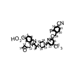 CC(c1nc2ccc(C(=O)O)cc2n1C[C@@H]1CCO1)N1CCN(c2cc(C(F)(F)F)cc(OCc3ccc(C#N)cc3F)n2)CC1